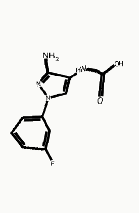 Nc1nn(-c2cccc(F)c2)cc1NC(=O)O